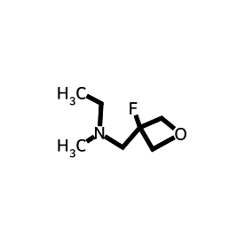 CCN(C)CC1(F)COC1